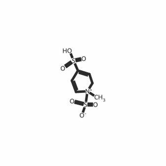 C[N+]1(S(=O)(=O)[O-])C=CC(S(=O)(=O)O)=CC1